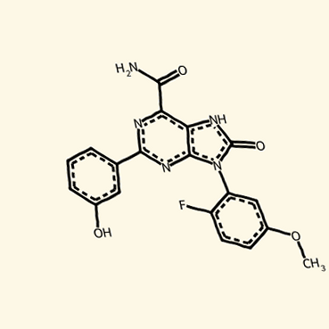 COc1ccc(F)c(-n2c(=O)[nH]c3c(C(N)=O)nc(-c4cccc(O)c4)nc32)c1